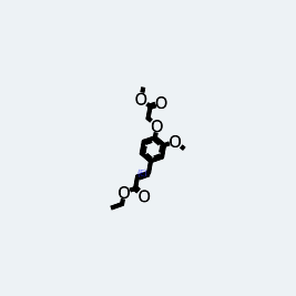 CCOC(=O)/C=C/c1ccc(OCC(=O)OC)c(OC)c1